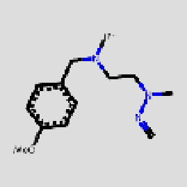 C=NN(C)CCN(Cc1ccc(OC)cc1)C(C)C